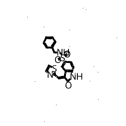 O=C1Nc2ccc(S(=O)(=O)NCc3ccccc3)cc2/C1=C\c1nccs1